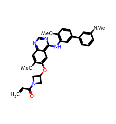 C=CC(=O)N1CC(Oc2cc3c(Nc4cc(-c5cccc(NC)c5)ccc4OC)ncnc3cc2OC)C1